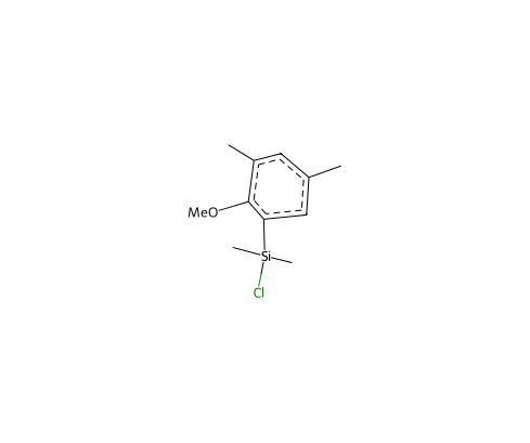 COc1c(C)cc(C)cc1[Si](C)(C)Cl